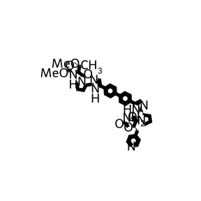 COC(=O)N[C@H](C(=O)N1CCCC1c1ncc(-c2ccc(-c3ccc(-c4cnc([C@@H]5CCCN5C(=O)[C@H](Cc5ccncc5)OC(N)=O)[nH]4)cc3)cc2)[nH]1)[C@@H](C)OC